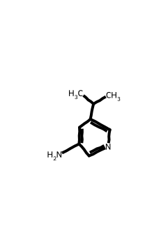 CC(C)c1cncc(N)c1